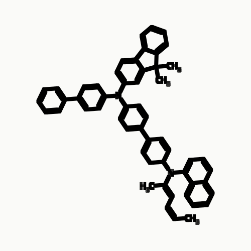 C/C=C\C=C(/C)N(c1cccc2ccccc12)C1C=CC(c2ccc(N(c3ccc(-c4ccccc4)cc3)c3ccc4c(c3)C(C)(C)c3ccccc3-4)cc2)=CC1